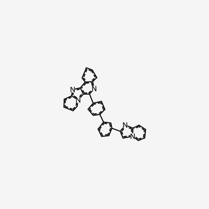 c1cc(-c2ccc(-c3nc4ccccc4c4nc5ccccn5c34)cc2)cc(-c2cn3ccccc3n2)c1